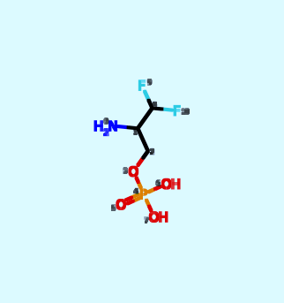 NC(COP(=O)(O)O)C(F)F